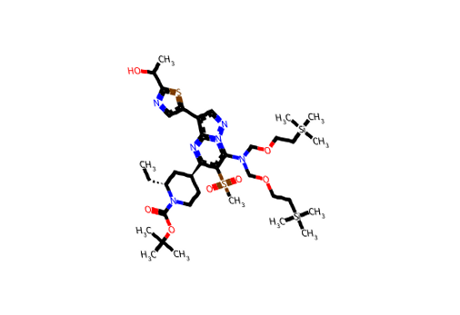 CC[C@@H]1C[C@@H](c2nc3c(-c4cnc(C(C)O)s4)cnn3c(N(COCC[Si](C)(C)C)COCC[Si](C)(C)C)c2S(C)(=O)=O)CCN1C(=O)OC(C)(C)C